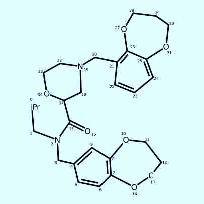 CC(C)CN(Cc1ccc2c(c1)OCCCO2)C(=O)C1CN(Cc2cccc3c2OCCCO3)CCO1